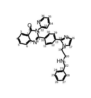 O=c1c2ccccc2nc(-c2ccc(-c3nccn3CCNCc3ccccc3)cc2)n1-c1ccccn1